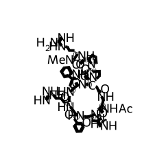 CNC(=O)[C@H](CCCNC(=N)N)NC(=O)[C@@H]1CCCN1C(=O)[C@@H]1CCCN1C(=O)[C@@H]1CCC(=O)NC[C@H](NC(C)=O)C(=O)N[C@@H](Cc2c[nH]cn2)C(=O)N[C@H](Cc2ccccc2)C(=O)N[C@@H](CCCNC(=N)N)C(=O)N[C@@H](Cc2c[nH]c3ccccc23)C(=O)N1